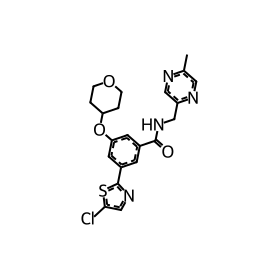 Cc1cnc(CNC(=O)c2cc(OC3CCOCC3)cc(-c3ncc(Cl)s3)c2)cn1